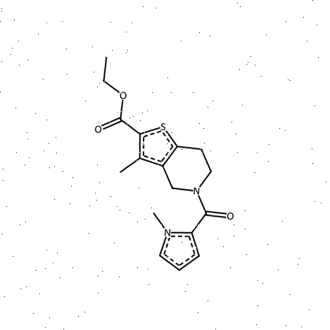 CCOC(=O)c1sc2c(c1C)CN(C(=O)c1cccn1C)CC2